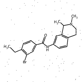 CCc1ccc(C(=O)Nc2ccc3c(c2)C(C)N(C)CC3)cc1Br